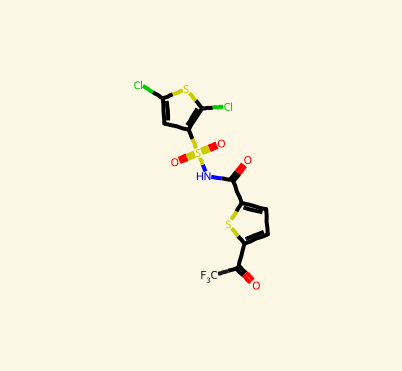 O=C(NS(=O)(=O)c1cc(Cl)sc1Cl)c1ccc(C(=O)C(F)(F)F)s1